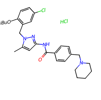 Cc1cc(NC(=O)c2ccc(CN3CCCCC3)cc2)nn1Cc1cc(Cl)ccc1OCC(C)C.Cl